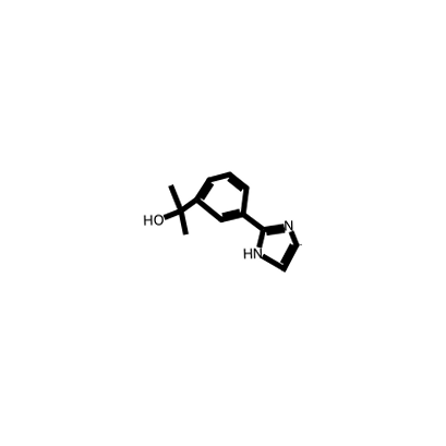 CC(C)(O)c1cccc(-c2n[c]c[nH]2)c1